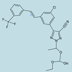 CCOC(O)OC(C)n1nc(C#N)c(-c2cc(Cl)cc(/C=C/c3cccc(C(F)(F)F)c3)c2)n1